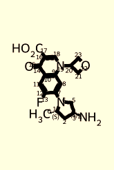 C[C@H]1C[C@H](N)CN1c1cc2c(cc1F)c(=O)c(C(=O)O)cn2C1COC1